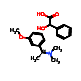 COc1cccc([C@@H](C)N(C)C)c1.O=C(O)C(O)c1ccccc1